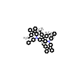 C=Cc1ccc(C2(c3ccccc3)c3ccccc3-c3ccc(N(c4ccc(-c5ccccc5)cc4)c4ccc5c(c4)C(c4ccc(C(C)(C)C)cc4)(c4ccc(C(C)(C)C)cc4)c4cc(N(c6ccc(-c7ccccc7)cc6)c6ccc7c(c6)C(c6ccccc6)(c6ccc(C=C)cc6)c6ccccc6-7)ccc4-5)cc32)cc1